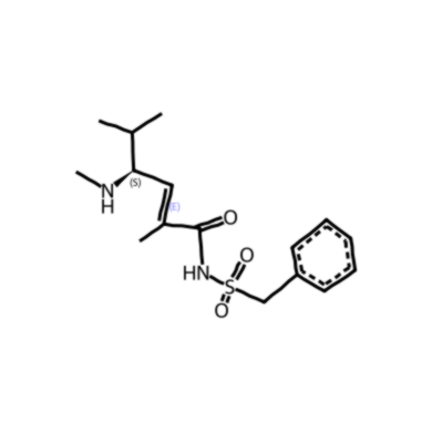 CN[C@H](/C=C(\C)C(=O)NS(=O)(=O)Cc1ccccc1)C(C)C